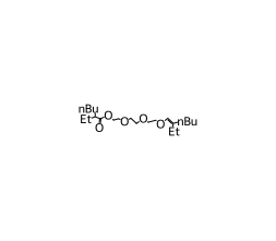 CCCC/C(=C/OCCOCCOCCOC(=O)C(CC)CCCC)CC